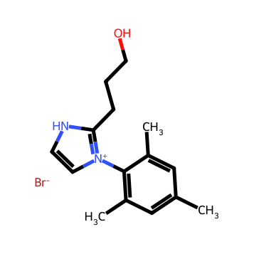 Cc1cc(C)c(-[n+]2cc[nH]c2CCCO)c(C)c1.[Br-]